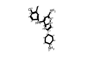 Cc1cc(Nc2cc(N)nn3cc([C@H]4CC[C@H](N)CC4)nc23)ccc1Cl